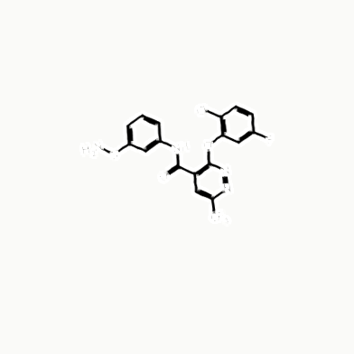 NSc1cccc(NC(=O)c2cc(C(F)(F)F)nnc2Oc2cc(F)ccc2Cl)c1